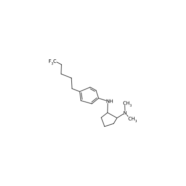 CN(C)C1CCCC1Nc1ccc(CCCCC(F)(F)F)cc1